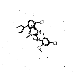 CC=C(CC)c1ccc(Cl)c2nc(Nc3c(C)cc(Cl)cc3OC)n(C)c12